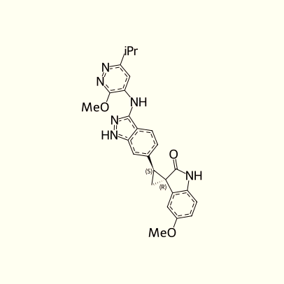 COc1ccc2c(c1)[C@]1(C[C@H]1c1ccc3c(Nc4cc(C(C)C)nnc4OC)n[nH]c3c1)C(=O)N2